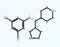 Clc1cc(Cl)cc(O[C@H](C2CCOCC2)C2CCNC2)c1